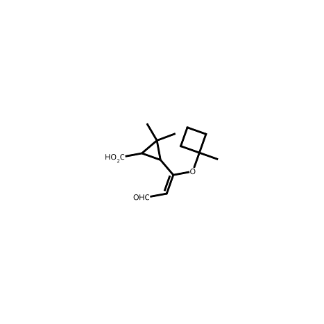 CC1(OC(=CC=O)C2C(C(=O)O)C2(C)C)CCC1